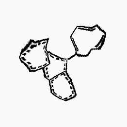 C1=CC=C(n2c3ccccc3c3ccccc32)CC=C1